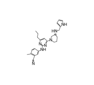 CCCc1cc(N2CCC[C@@H](NCc3ccc[nH]3)C2)nc(Nc2ccc(C)c(C#N)c2)n1